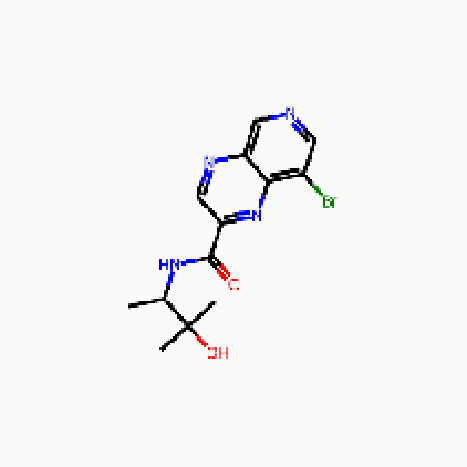 CC(NC(=O)c1cnc2cncc(Br)c2n1)C(C)(C)O